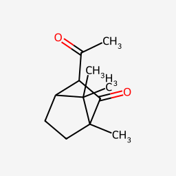 CC(=O)C1C(=O)C2(C)CCC1C2(C)C